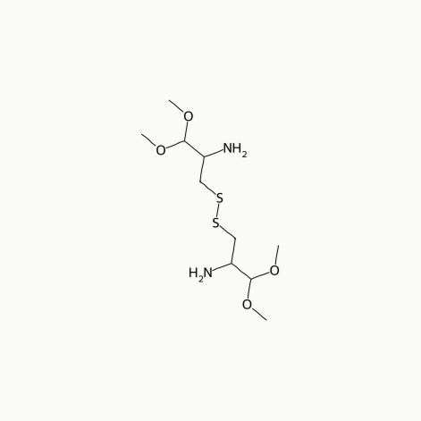 COC(OC)C(N)CSSCC(N)C(OC)OC